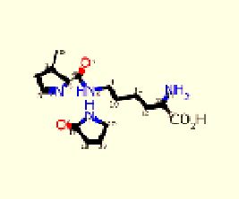 C[C@@H]1CC=N[C@H]1C(=O)NCCCCC(N)C(=O)O.O=C1CCCN1